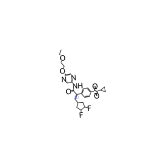 CCOCCOc1cnc(NC(=O)/C(=C/C2CC(F)C(F)C2)c2ccc(S(=O)(=O)C3CC3)cc2)cn1